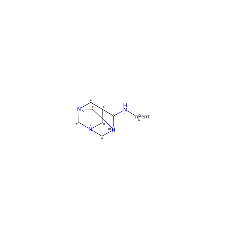 CCCCCNC1C2CN3CN(C2)CN1C3